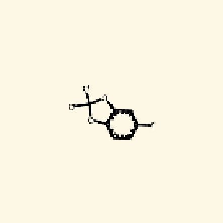 Fc1ccc2c(c1)OC(Cl)(Cl)O2